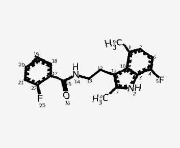 Cc1[nH]c2c(F)ccc(C)c2c1CCNC(=O)c1ccccc1F